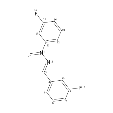 C=[N+](N=Cc1cccc(F)c1)c1cccc(F)c1